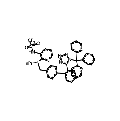 CCCN(Cc1ccc(-c2ccccc2-c2nnnn2C(c2ccccc2)(c2ccccc2)c2ccccc2)cc1)c1ncccc1NS(=O)(=O)C(F)(F)F